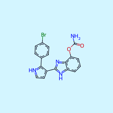 NC(=O)Oc1cccc2[nH]c(-c3cc[nH]c3-c3ccc(Br)cc3)nc12